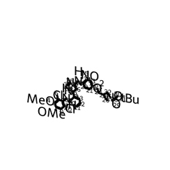 COc1cc(OC)c(Cl)c(Nc2ncccc2-c2cc(Nc3ccc(OCC4CN(C(=O)OC(C)(C)C)C4)cc3[N+](=O)[O-])ncn2)c1Cl